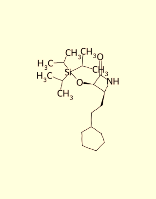 CC(C)[Si](O[C@H]1C(=O)N[C@H]1CCC1CCCCC1)(C(C)C)C(C)C